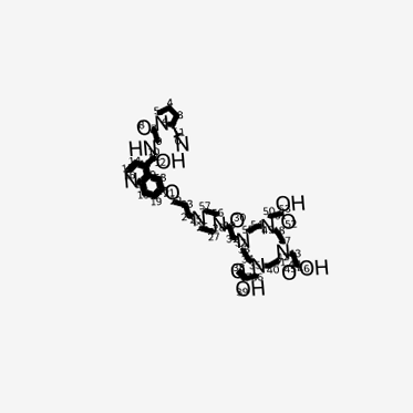 N#C[C@@H]1CCCN1C(=O)CNC(O)c1ccnc2ccc(OCCCN3CCN(C(=O)CN4CCN(CC(=O)O)CCN(CC(=O)O)CCN(CC(=O)O)CC4)CC3)cc12